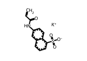 C=CC(=O)Nc1ccc2c(S(=O)(=O)[O-])cccc2c1.[K+]